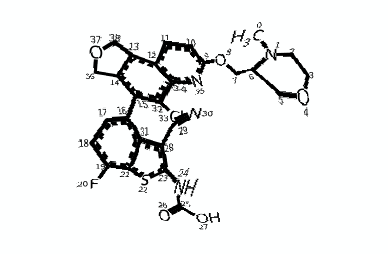 CN1CCOC[C@H]1COc1ccc2c3c(c(-c4ccc(F)c5sc(NC(=O)O)c(C#N)c45)c(Cl)c2n1)COC3